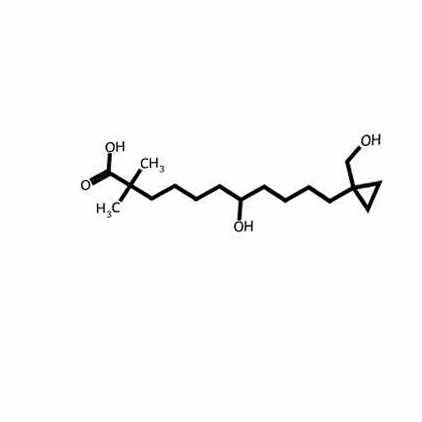 CC(C)(CCCCC(O)CCCCC1(CO)CC1)C(=O)O